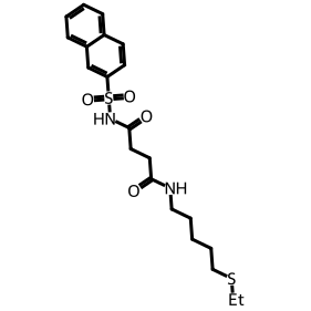 CCSCCCCCNC(=O)CCC(=O)NS(=O)(=O)c1ccc2ccccc2c1